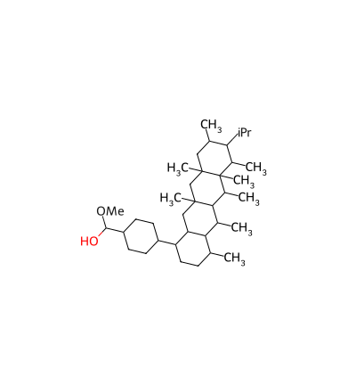 COC(O)C1CCC(C2CCC(C)C3C(C)C4C(C)C5(C)C(C)C(C(C)C)C(C)CC5(C)CC4(C)CC23)CC1